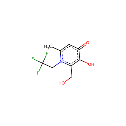 Cc1cc(=O)c(O)c(CO)n1CC(F)(F)F